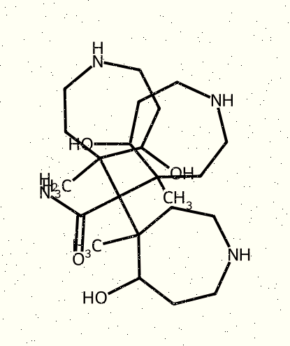 CC1(C(C(N)=O)(C2(C)CCNCCC2O)C2(C)CCNCCC2O)CCNCCC1O